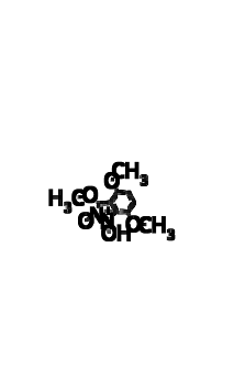 COc1ccc(OC)c2c1c(OC)[n+]([O-])n2O